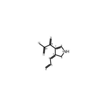 C=C/C=C1\CNC=C1C(=C)C(=C)C